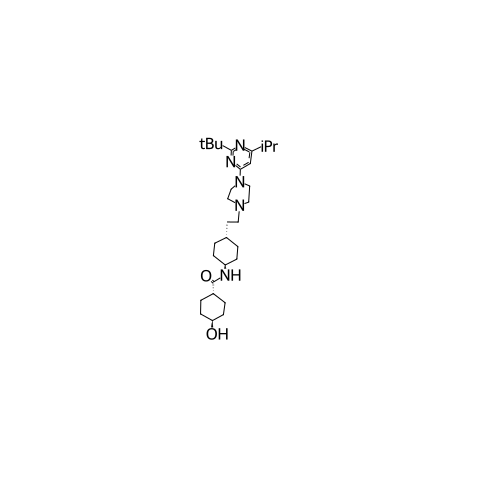 CC(C)c1cc(N2CCN(CC[C@H]3CC[C@H](NC(=O)[C@H]4CC[C@H](O)CC4)CC3)CC2)nc(C(C)(C)C)n1